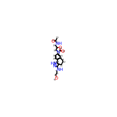 COCCCNc1n[nH]c2c1CCCc1cc(N3CC(CNC(C)=O)OC3=O)ccc1-2